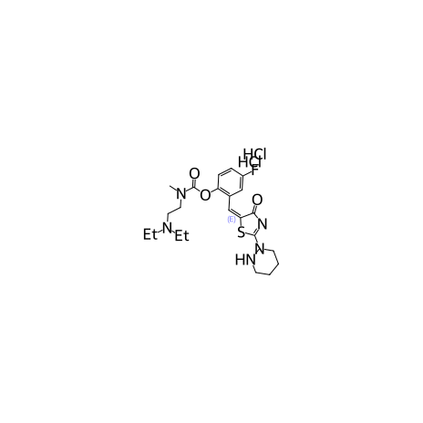 CCN(CC)CCN(C)C(=O)Oc1ccc(F)cc1/C=C1/SC(N2CCCCN2)=NC1=O.Cl.Cl